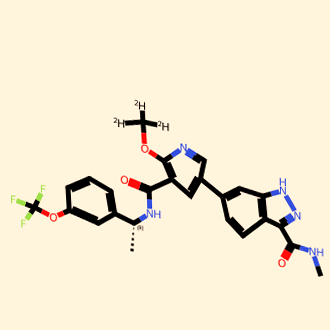 [2H]C([2H])([2H])Oc1ncc(-c2ccc3c(C(=O)NC)n[nH]c3c2)cc1C(=O)N[C@H](C)c1cccc(OC(F)(F)F)c1